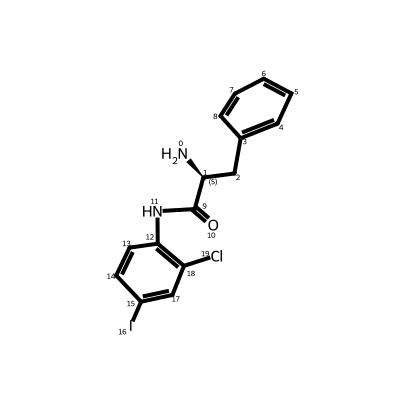 N[C@@H](Cc1ccccc1)C(=O)Nc1ccc(I)cc1Cl